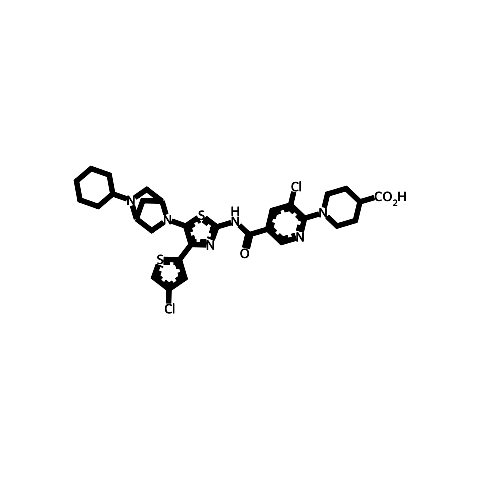 O=C(Nc1nc(-c2cc(Cl)cs2)c(N2CC3CC2CN3C2CCCCC2)s1)c1cnc(N2CCC(C(=O)O)CC2)c(Cl)c1